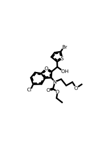 CCOC(=O)N(CCCOC)c1c(C(O)c2ccc(Br)s2)oc2ccc(Cl)cc12